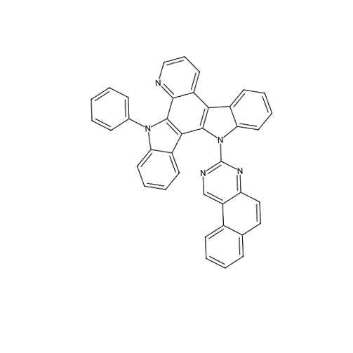 c1ccc(-n2c3ccccc3c3c2c2ncccc2c2c4ccccc4n(-c4ncc5c(ccc6ccccc65)n4)c23)cc1